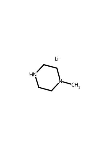 CN1CCNCC1.[Li]